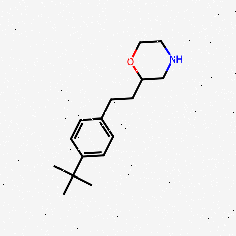 CC(C)(C)c1ccc(CCC2CNCCO2)cc1